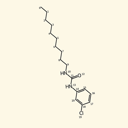 CCCCCCCCCCNC(=O)Nc1cccc(Cl)c1